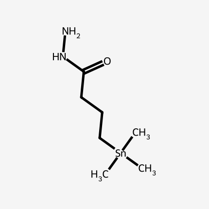 [CH3][Sn]([CH3])([CH3])[CH2]CCC(=O)NN